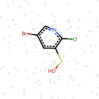 OSc1cc(Br)cnc1Cl